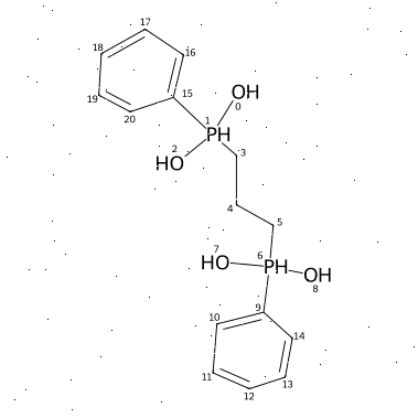 O[PH](O)(CCC[PH](O)(O)c1ccccc1)c1ccccc1